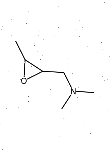 CC1OC1CN(C)C